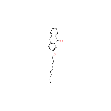 CCCCCCCCOc1ccc2c(c1)C(=O)c1ccccc1C2